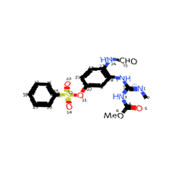 C/N=C(\NC(=O)OC)Nc1cc(OS(=O)(=O)c2ccccc2)ccc1NC=O